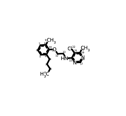 CCCCc1cccc(C)c1OCCNc1ncnc(C)c1Cl